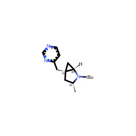 C[C@@H]1C[C@@]2(Cc3ccncn3)C[C@H]2N1C(C)(C)C